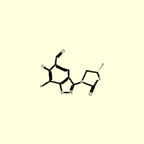 C[C@H]1CN(c2noc3c(F)c(F)c(C=O)cc23)C(=O)S1